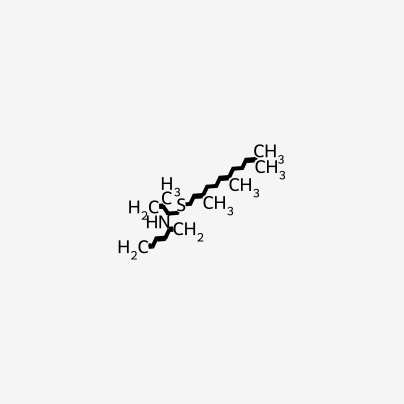 C=C/C=C/C(=C)NC(CSC/C=C(\C)CC/C=C(\C)CCC=C(C)C)C(=C)C